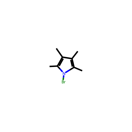 Cc1c(C)c(C)n(Br)c1C